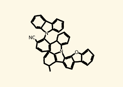 CC1CC=Cc2c1c1ccc3c4ccccc4oc3c1n2C1=CC=CCC1c1cccc(C#N)c1-n1c2ccccc2c2ccccc21